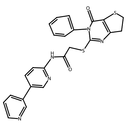 O=C(CSc1nc2c(c(=O)n1-c1ccccc1)SCC2)Nc1ccc(-c2cccnc2)cn1